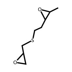 CC1OC1CCSCC1CO1